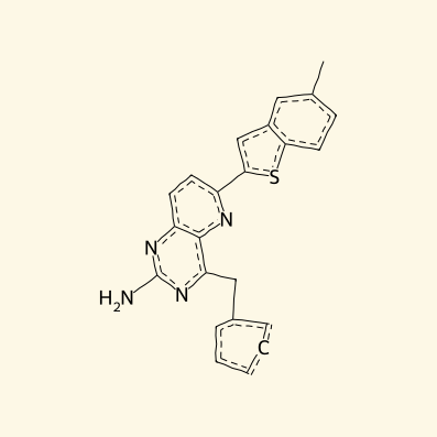 Cc1ccc2sc(-c3ccc4nc(N)nc(Cc5ccccc5)c4n3)cc2c1